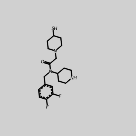 O=C(CN1CCC(S)CC1)N(Cc1ccc(F)c(F)c1)C1CCNCC1